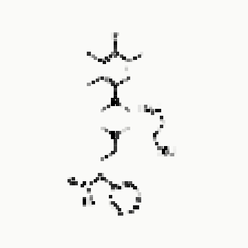 Cc1c(F)c(F)cc(N2CCN(CCn3c(=O)[nH]c4ccccc43)CC2)c1F.O=C(O)CCC(=O)O